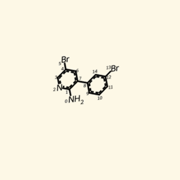 Nc1ncc(Br)cc1-c1cccc(Br)c1